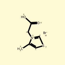 Cc1csc[n+]1CC(=O)O.[Br-]